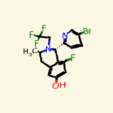 C[C@@H]1Cc2cc(O)cc(F)c2[C@@H](c2ccc(Br)cn2)N1CC(F)(F)F